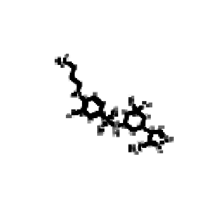 CCCCOc1ccc(S(=O)(=O)N[C@@H]2C[C@H](n3cnnc3C)CC(F)(F)C2)cc1F